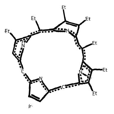 CCC1=C(CC)c2nc1c(CC)c1[nH]c(cc3nc(cc4c(CC)c(CC)c(c2CC)n4CC)C=C3)cc1CC.[Ir]